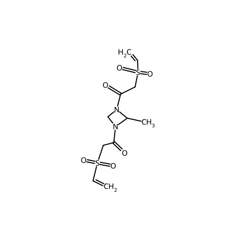 C=CS(=O)(=O)CC(=O)N1CN(C(=O)CS(=O)(=O)C=C)C1C